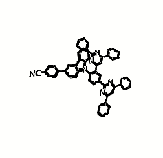 N#Cc1ccc(-c2ccc3c(c2)c2ccccc2n3-c2ccc(-c3nc(-c4ccccc4)cc(-c4ccccc4)n3)cc2-c2cc(-c3ccccc3)nc(-c3ccccc3)n2)cc1